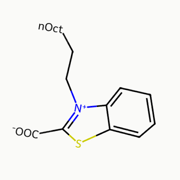 CCCCCCCCCC[n+]1c(C(=O)[O-])sc2ccccc21